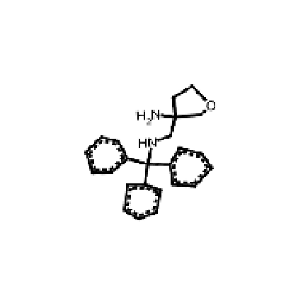 NC1(CNC(c2ccccc2)(c2ccccc2)c2ccccc2)CCOC1